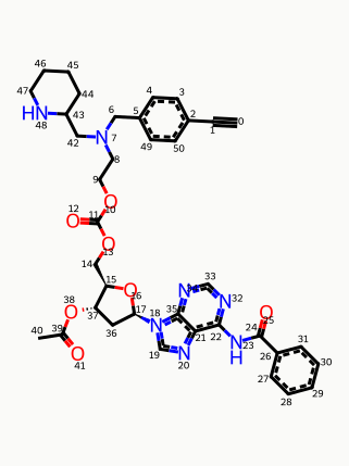 C#Cc1ccc(CN(CCOC(=O)OC[C@H]2O[C@@H](n3cnc4c(NC(=O)c5ccccc5)ncnc43)C[C@@H]2OC(C)=O)CC2CCCCN2)cc1